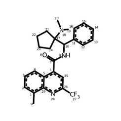 Cc1cccc2c(C(=O)NC(c3ccccc3)C3(N(C)C)CCCC3)cc(C(F)(F)F)nc12